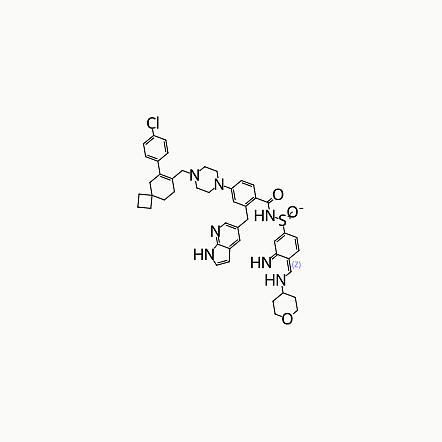 N=C1C=C([S+]([O-])NC(=O)c2ccc(N3CCN(CC4=C(c5ccc(Cl)cc5)CC5(CCC5)CC4)CC3)cc2Cc2cnc3[nH]ccc3c2)C=C/C1=C/NC1CCOCC1